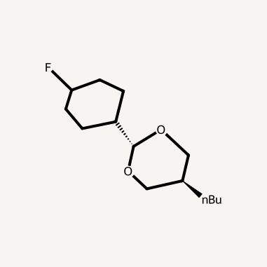 CCCC[C@H]1CO[C@H](C2CCC(F)CC2)OC1